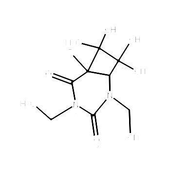 CCN1C(=O)N(CC)C2C(C)(C)C(C)(C)C2(F)C1=O